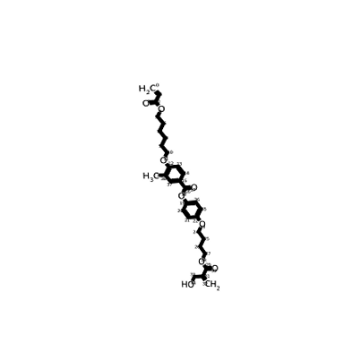 C=CC(=O)OCCCCCCOc1ccc(C(=O)Oc2ccc(OCCCCOC(=O)C(=C)CO)cc2)cc1C